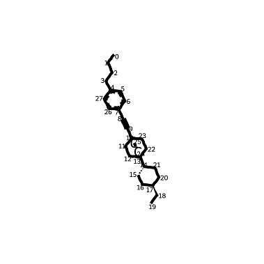 CCCCc1ccc(C#CC23CCC([C@H]4CC[C@H](CC)CC4)(CC2)CC3)cc1